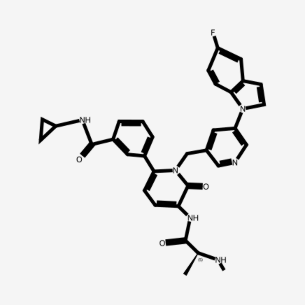 CN[C@@H](C)C(=O)Nc1ccc(-c2cccc(C(=O)NC3CC3)c2)n(Cc2cncc(-n3ccc4cc(F)ccc43)c2)c1=O